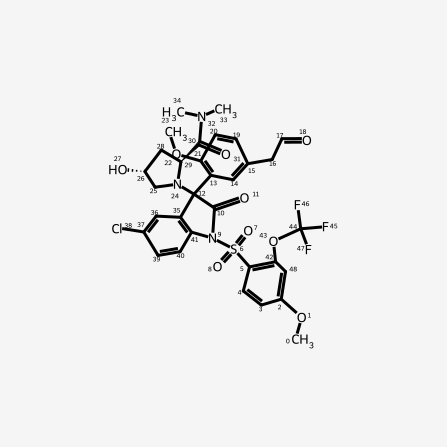 COc1ccc(S(=O)(=O)N2C(=O)C(c3cc(CC=O)ccc3OC)(N3C[C@H](O)C[C@H]3C(=O)N(C)C)c3cc(Cl)ccc32)c(OC(F)(F)F)c1